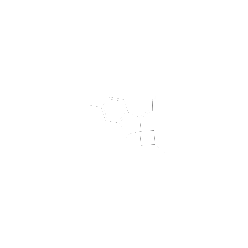 CC1CC2(C1)Oc1cc(Cl)ccc1/C2=C\Br